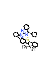 CC(C)C1(C(C)C)c2ccccc2-c2sc3c(ccc4c5ccccc5n(-c5nc(-c6ccccc6)c6ccccc6n5)c43)c21